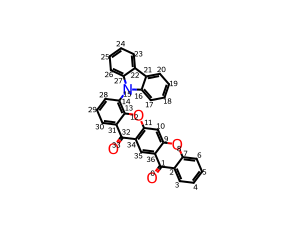 O=c1c2ccccc2oc2cc3oc4c(-n5c6ccccc6c6ccccc65)cccc4c(=O)c3cc12